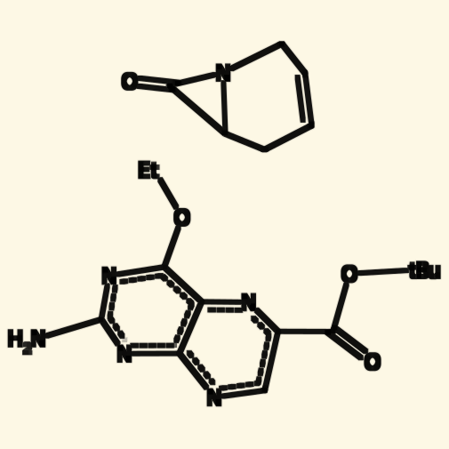 CCOc1nc(N)nc2ncc(C(=O)OC(C)(C)C)nc12.O=C1C2CC=CCN12